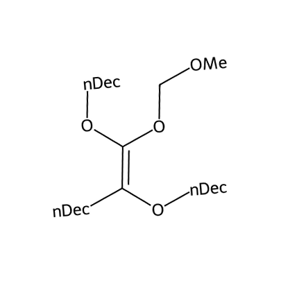 CCCCCCCCCCOC(CCCCCCCCCC)=C(OCCCCCCCCCC)OCOC